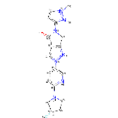 Cn1ccc(N2Cc3nn(-c4ccc(N5CC[C@H](F)C5)nc4)cc3C2=O)n1